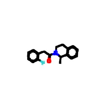 C[C@@H]1c2ccccc2CCN1C(=O)Cc1ccccc1F